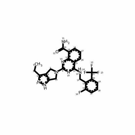 CCc1n[nH]c2c1CN(c1nc(NCc3c(F)cccc3C(F)(F)F)c3cccc(C(N)=O)c3n1)C2